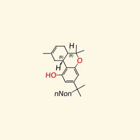 CCCCCCCCCC(C)(C)c1cc(O)c2c(c1)OC(C)(C)[C@@H]1CC=C(C)C[C@@H]21